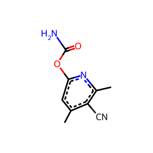 Cc1cc(OC(N)=O)nc(C)c1C#N